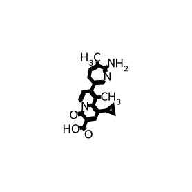 CC1=CCC(c2ccn3c(=O)c(C(=O)O)cc(C4CC4)c3c2C)=CN=C1N